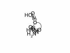 CC(C)(C(=O)O)N1CCc2c3cc(cc2C1)Cn1c(=O)[nH]c2c(N)nc(nc21)OCCCCC3